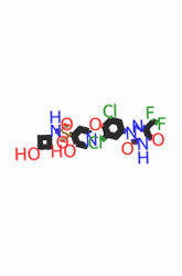 O=c1[nH]c(=O)n(-c2cc(Cl)c(Oc3cc(S(=O)(=O)N[C@H]4C[C@H](O)C4)c(O)cn3)c(Cl)c2)nc1C(F)F